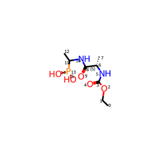 CCOC(=O)N[C@@H](C)C(=O)NC(C)P(O)O